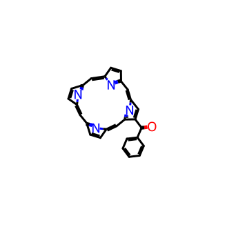 O=C(C1=CC2=CC3=NC(=CC4=NC(=CC5=NC(=CC1=N2)C=C5)C=C4)C=C3)c1ccccc1